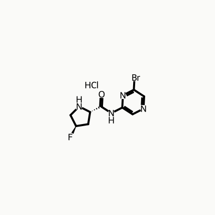 Cl.O=C(Nc1cncc(Br)n1)[C@@H]1C[C@@H](F)CN1